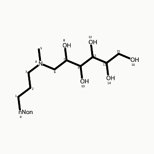 CCCCCCCCCCCCN(C)CC(O)C(O)C(O)C(O)CO